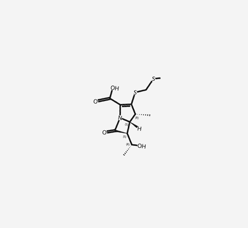 CSCSC1=C(C(=O)O)N2C(=O)[C@H]([C@@H](C)O)[C@H]2[C@H]1C